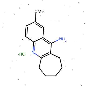 COc1ccc2nc3c(c(N)c2c1)CCCCC3.Cl